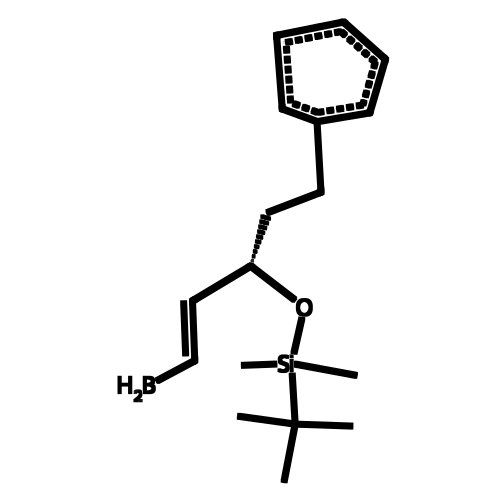 B/C=C/[C@H](CCc1ccccc1)O[Si](C)(C)C(C)(C)C